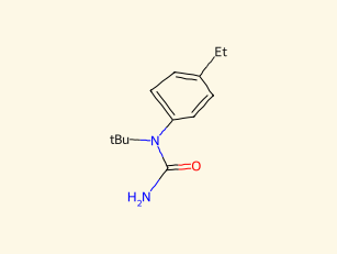 [CH2]Cc1ccc(N(C(N)=O)C(C)(C)C)cc1